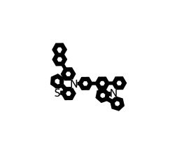 c1ccc(-n2c3ccccc3c3ccccc32)c(-c2ccc(-c3ccc(N(c4ccc(-c5ccc6ccccc6c5)cc4)c4cccc5sc6ccccc6c45)cc3)cc2)c1